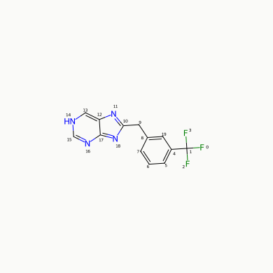 FC(F)(F)c1cccc(Cc2nc3c[nH]cnc-3n2)c1